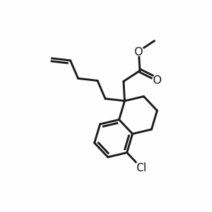 C=CCCCC1(CC(=O)OC)CCCc2c(Cl)cccc21